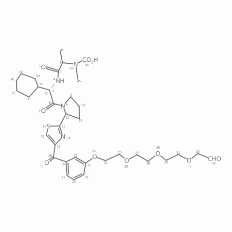 CC(C(=O)N[C@H](C(=O)N1CCCC1c1nc(C(=O)c2cccc(OCCOCCOCCOCC=O)c2)cs1)C1CCCCC1)N(C)C(=O)O